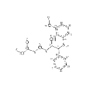 COC(=O)COCC(O)C(Sc1cccc(OC)c1)c1ccccc1